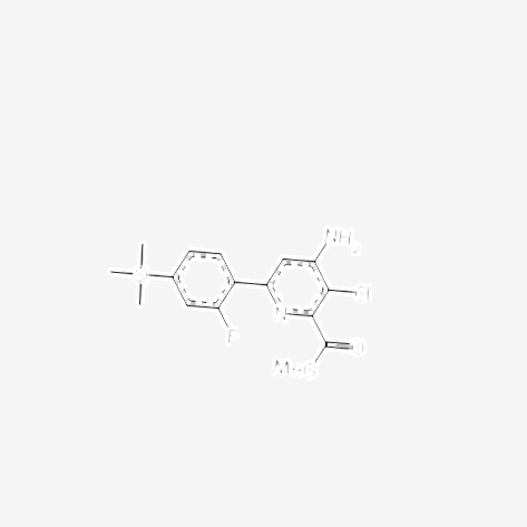 COC(=O)c1nc(-c2ccc([Si](C)(C)C)cc2F)cc(N)c1Cl